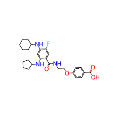 O=C(O)c1ccc(OCCNC(=O)c2cc(F)c(NC3CCCCC3)cc2NC2CCCC2)cc1